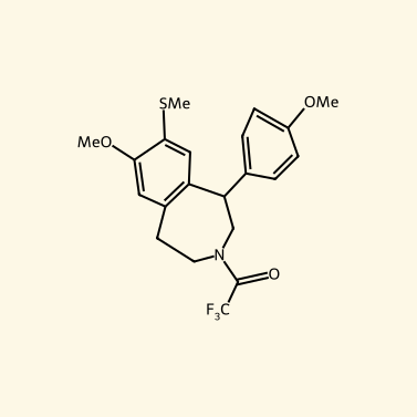 COc1ccc(C2CN(C(=O)C(F)(F)F)CCc3cc(OC)c(SC)cc32)cc1